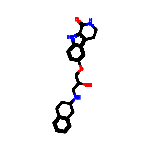 O=C1NCCc2c1[nH]c1ccc(OCC(O)CNC3CCc4ccccc4C3)cc21